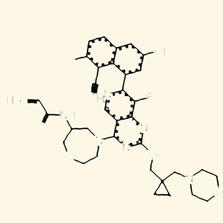 C#Cc1c(F)ccc2cc(O)cc(-c3ncc4c(N5CCOCC(NC(=O)C=C)C5)nc(OCC5(CN6CCOCC6)CC5)nc4c3F)c12